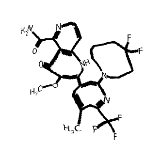 COc1c(-c2cc(C)c(C(F)(F)F)nc2N2CCCC(F)(F)CC2)[nH]c2ccnc(C(N)=O)c2c1=O